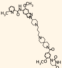 COc1cc2nn(C3CCN(CCCCN4CCC5(CC4)CCN(C(=O)c4ccc(OC)c(N6CCC(=O)NC6=O)c4)CC5)CC3)cc2cc1NC(=O)c1cccc(C)n1